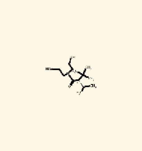 CC(C)[C@H](C(=O)N(CCO)CCO)C(C)(C)C